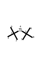 C[C](C)(C)[Ti][C](C)(C)C